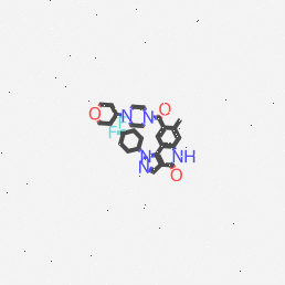 Cc1cc2[nH]c(=O)c3cnn(C4CCC(F)(F)CC4)c3c2cc1C(=O)N1CCN(C2CCOCC2)CC1